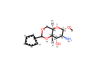 CO[C@H]1O[C@@H]2COC(c3ccccc3)O[C@H]2[C@@H](O)[C@@H]1N